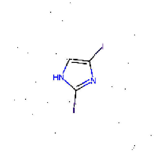 Ic1[c][nH]c(I)n1